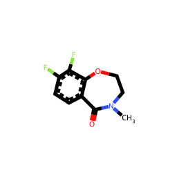 CN1CCOc2c(ccc(F)c2F)C1=O